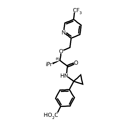 CC(C)[C@@H](OCc1ccc(C(F)(F)F)cn1)C(=O)NC1(c2ccc(C(=O)O)cc2)CC1